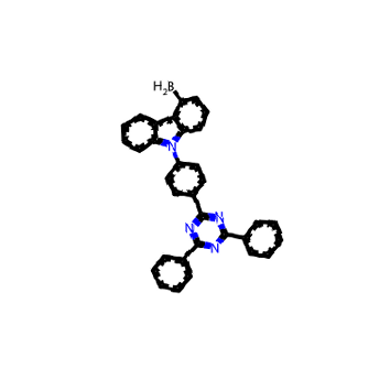 Bc1cccc2c1c1ccccc1n2-c1ccc(-c2nc(-c3ccccc3)nc(-c3ccccc3)n2)cc1